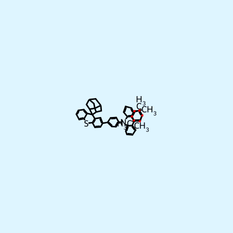 CC1(C)CCC(C)(C)c2c(N(c3ccc(-c4ccc5c(c4)C4(c6ccccc6S5)C5CC6CC7CC4C75C6)cc3)c3ccccc3-c3ccccc3)cccc21